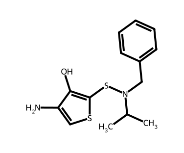 CC(C)N(Cc1ccccc1)Sc1scc(N)c1O